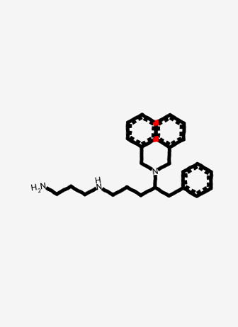 NCCCNCCCC(Cc1ccccc1)N(Cc1ccccc1)Cc1ccccc1